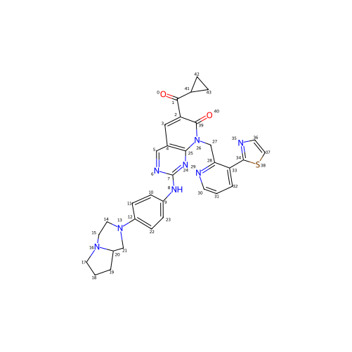 O=C(c1cc2cnc(Nc3ccc(N4CCN5CCCC5C4)cc3)nc2n(Cc2ncccc2-c2nccs2)c1=O)C1CC1